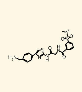 CN(C)S(=O)(=O)c1cccc(C(=O)NCC(=O)Nc2nc(-c3ccc(CN)cc3)cs2)c1